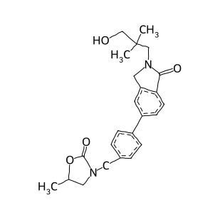 CC1CN(Cc2ccc(-c3ccc4c(c3)CN(CC(C)(C)CO)C4=O)cc2)C(=O)O1